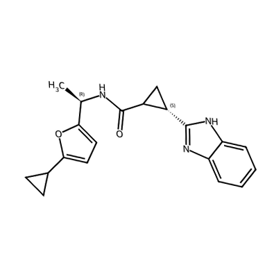 C[C@@H](NC(=O)C1C[C@@H]1c1nc2ccccc2[nH]1)c1ccc(C2CC2)o1